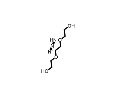 OCCOCCOCCO.[N-]=[N+]=N